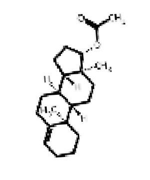 CC(=O)O[C@H]1CC[C@H]2[C@@H]3CCC4=CCCC[C@]4(C)[C@H]3CC[C@]12C